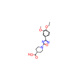 CCOc1ccc(-c2noc(N3CCC(C(=O)O)CC3)n2)cc1OC